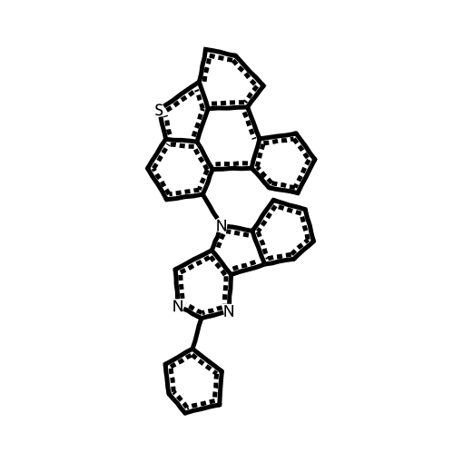 c1ccc(-c2ncc3c(n2)c2ccccc2n3-c2ccc3sc4cccc5c6ccccc6c2c3c45)cc1